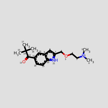 CN(C)CCOCc1cc2cc(C(=O)C(C)(C)C)ccc2[nH]1